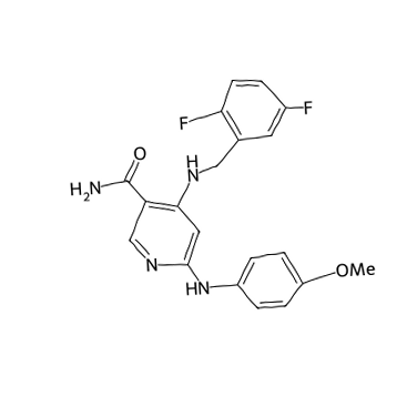 COc1ccc(Nc2cc(NCc3cc(F)ccc3F)c(C(N)=O)cn2)cc1